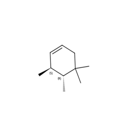 C[C@@H]1[C@@H](C)C=CCC1(C)C